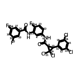 O=C(Nc1cc(NC(=O)C2C(c3cc(Cl)cc(Cl)c3)C2(Cl)Cl)ccc1F)c1cc(F)cc(F)c1